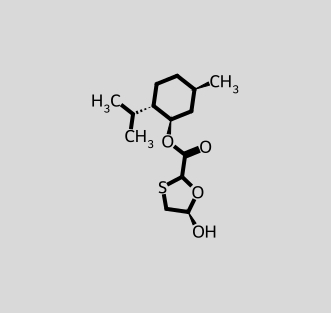 CC(C)[C@@H]1CC[C@@H](C)C[C@H]1OC(=O)C1O[C@@H](O)CS1